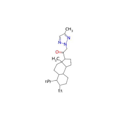 CCCC1C(CC)CCC2C1CCC1(C)C(C(=O)Cn3ncc(C)n3)CCC21